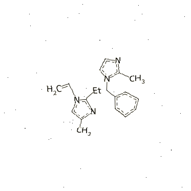 C=Cn1cc(C)nc1CC.Cc1nccn1Cc1ccccc1